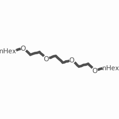 CCCCCCOCCOCCOCCOCCCCCC